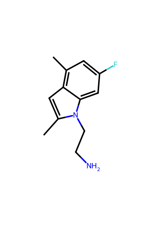 Cc1cc(F)cc2c1cc(C)n2CCN